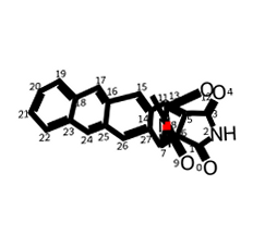 O=C1NC(=O)c2c1c1c(=O)[nH]c(=O)c2c2cc3cc4ccccc4cc3cc12